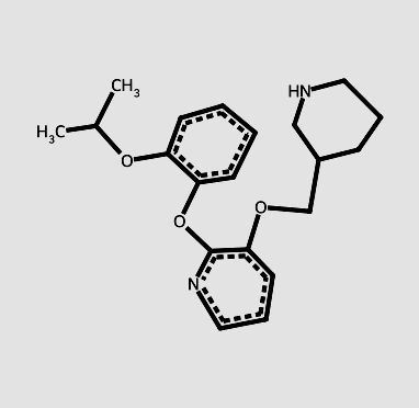 CC(C)Oc1ccccc1Oc1ncccc1OCC1CCCNC1